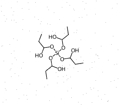 CCC(O)O[Si](OC(O)CC)(OC(O)CC)OC(O)CC